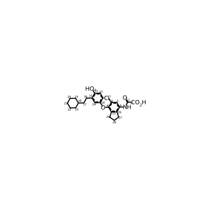 O=C(O)C(=O)Nc1cc(Cl)c(Oc2ccc(O)c(CCC3CCCCC3)c2)c2c1CCC2